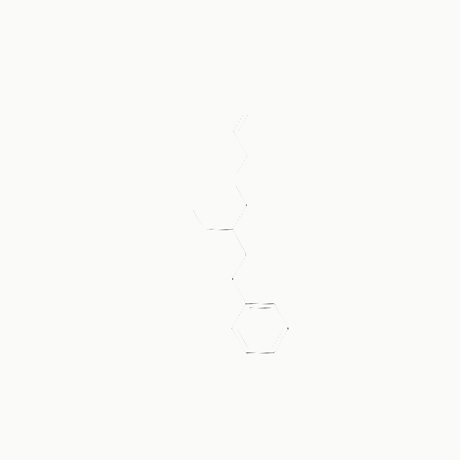 C=CCOCC(CCc1ccccc1)OC